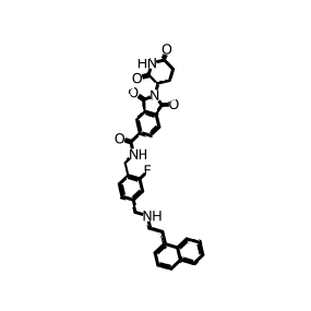 O=C1CCC(N2C(=O)c3ccc(C(=O)NCc4ccc(CNCCc5cccc6ccccc56)cc4F)cc3C2=O)C(=O)N1